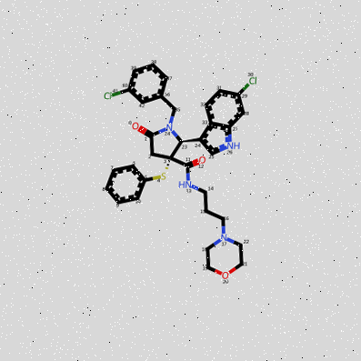 O=C1C[C@](Sc2ccccc2)(C(=O)NCCCN2CCOCC2)[C@H](c2c[nH]c3cc(Cl)ccc23)N1Cc1cccc(Cl)c1